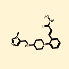 Cn1cncc1CNC1CCN(c2ccccc2C=CC(=O)NO)CC1